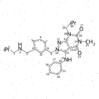 CC(C)CNCc1cccc(Cn2nc3c(c2Nc2ccccc2)c(=O)n(C)c(=O)n3CC(C)C)c1